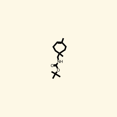 CC1=CCCC(C)(CNC(=O)OC(C)(C)C)CC1